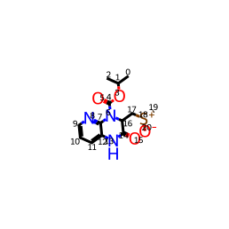 CC(C)OC(=O)N1c2ncccc2NC(=O)C1C[S+](C)[O-]